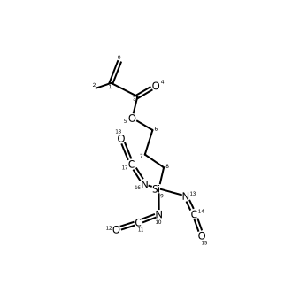 C=C(C)C(=O)OCCC[Si](N=C=O)(N=C=O)N=C=O